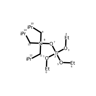 CC[O][Ti]([O]CC)([O]CC)[O][Si](CC(C)C)(CC(C)C)CC(C)C